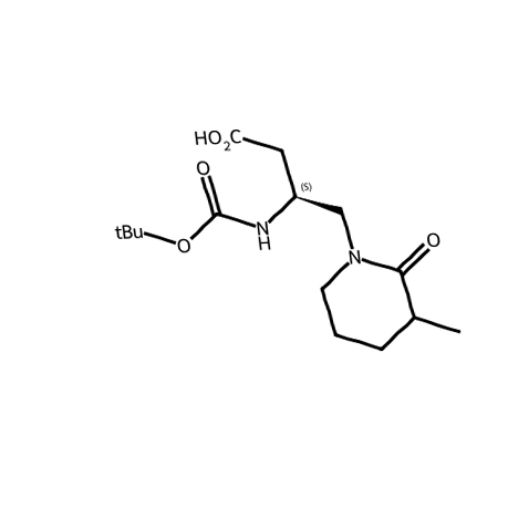 CC1CCCN(C[C@H](CC(=O)O)NC(=O)OC(C)(C)C)C1=O